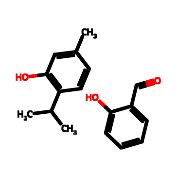 Cc1ccc(C(C)C)c(O)c1.O=Cc1ccccc1O